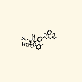 CCCCC(CC(O)c1ccc(C(=O)N[C@@H](CCSC)C(=O)O)c(-c2ccccc2C)c1)c1ccccc1Cl